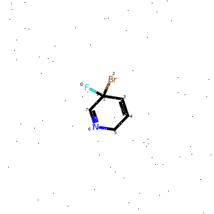 FC1(Br)C=CCN=C1